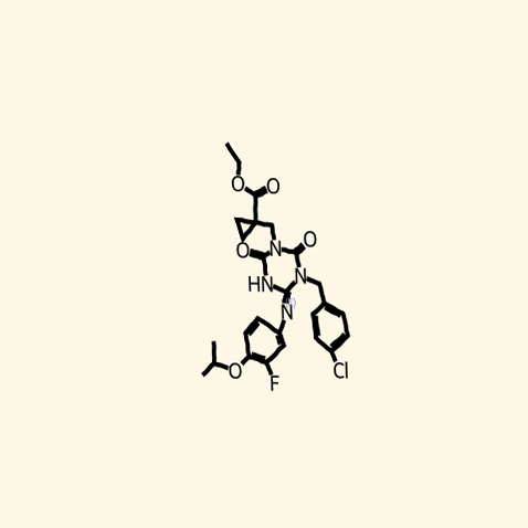 CCOC(=O)C1(Cn2c(=O)[nH]/c(=N\c3ccc(OC(C)C)c(F)c3)n(Cc3ccc(Cl)cc3)c2=O)CC1